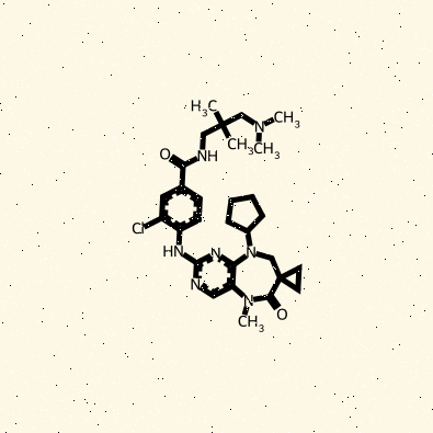 CN(C)CC(C)(C)CNC(=O)c1ccc(Nc2ncc3c(n2)N(C2CCCC2)CC2(CC2)C(=O)N3C)c(Cl)c1